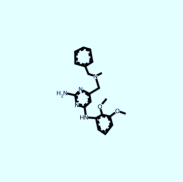 COc1cccc(Nc2cc(CN(C)Cc3ccccc3)nc(N)n2)c1OC